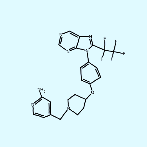 Nc1cc(CN2CCC(Oc3ccc(-n4c(C(F)(F)C(F)(F)F)nc5cncnc54)cc3)CC2)ccn1